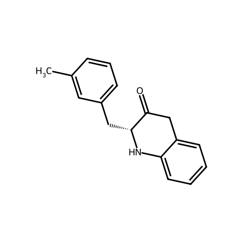 Cc1cccc(C[C@H]2Nc3ccccc3CC2=O)c1